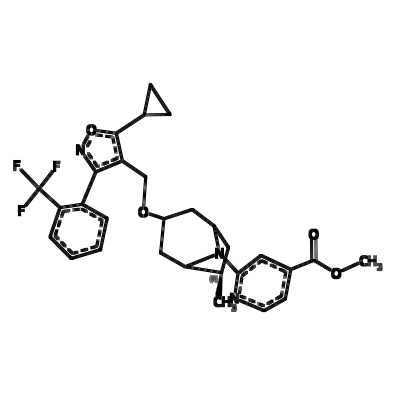 COC(=O)c1ccnc(N2C3CC(OCc4c(-c5ccccc5C(F)(F)F)noc4C4CC4)CC2[C@H](C)C3)c1